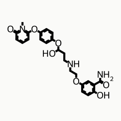 Cn1c(Oc2ccc(OC(O)CCNCCOc3ccc(O)c(C(N)=O)c3)cc2)cccc1=O